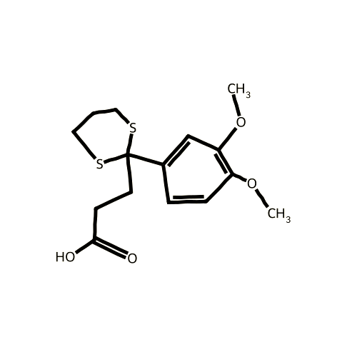 COc1ccc(C2(CCC(=O)O)SCCCS2)cc1OC